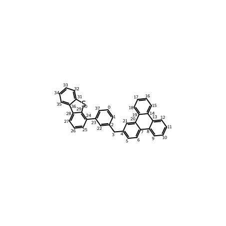 c1cc(Cc2ccc3c4ccccc4c4ccccc4c3c2)cc(-c2cccc3c2sc2ccccc23)c1